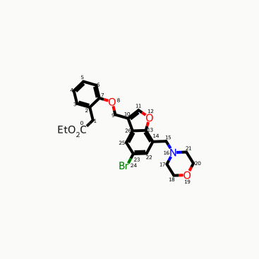 CCOC(=O)Cc1ccccc1OCc1coc2c(CN3CCOCC3)cc(Br)cc12